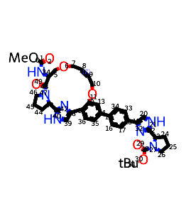 COC(=O)NC1COC/C=C\COc2cc(-c3ccc(-c4c[nH]c(C5CCCN5C(=O)OC(C)(C)C)n4)cc3)ccc2-c2c[nH]c(n2)C2CCCN2C1=O